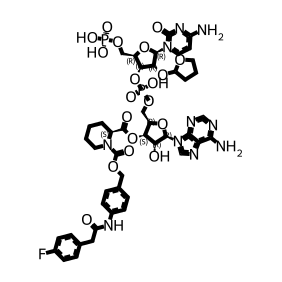 Nc1ccn([C@@H]2O[C@H](COP(=O)(O)O)[C@@H](OP(=O)(O)OC[C@H]3O[C@@H](n4cnc5c(N)ncnc54)[C@H](O)[C@@H]3OC(=O)[C@@H]3CCCCN3C(=O)OCc3ccc(NC(=O)Cc4ccc(F)cc4)cc3)[C@H]2OC2CCCO2)c(=O)n1